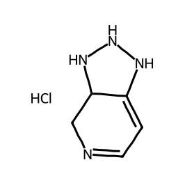 C1=NCC2NNNC2=C1.Cl